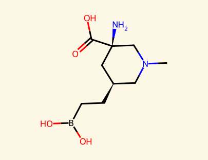 CN1C[C@@H](CCB(O)O)C[C@](N)(C(=O)O)C1